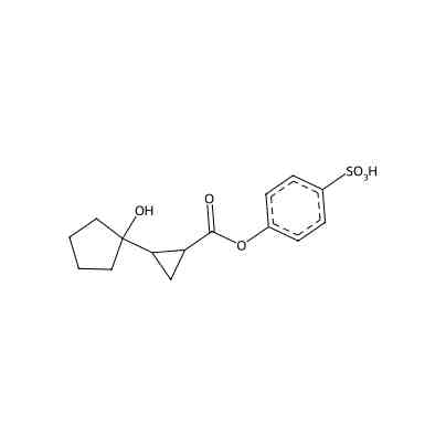 O=C(Oc1ccc(S(=O)(=O)O)cc1)C1CC1C1(O)CCCC1